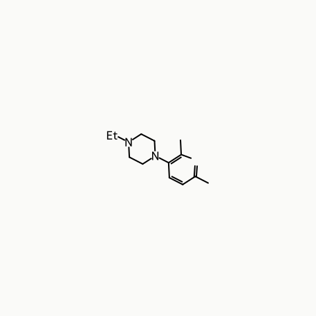 C=C(C)/C=C\C(=C(C)C)N1CCN(CC)CC1